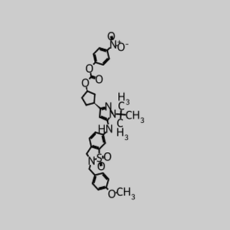 COc1ccc(CN2Cc3ccc(Nc4cc([C@H]5CC[C@@H](OC(=O)Oc6ccc([N+](=O)[O-])cc6)C5)nn4C(C)(C)C)cc3S2(=O)=O)cc1